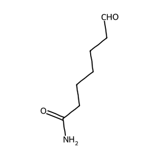 NC(=O)CCCCCC=O